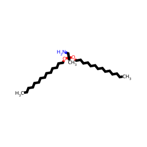 CCCCCCCCCCCCCCOC(C)(CN)OCCCCCCCCCCCCCC